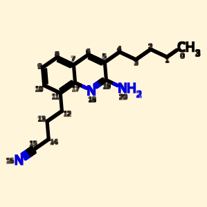 CCCCCc1cc2cccc(CCCC#N)c2nc1N